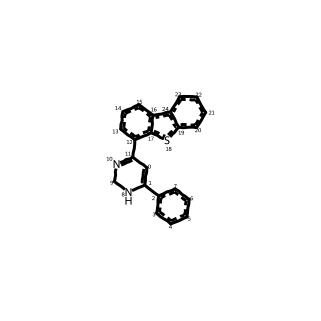 C1=C(c2ccccc2)NCN=C1c1cccc2c1sc1ccccc12